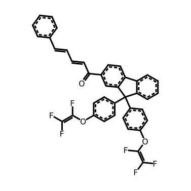 O=C(C=CC=Cc1ccccc1)c1ccc2c(c1)C(c1ccc(OC(F)=C(F)F)cc1)(c1ccc(OC(F)=C(F)F)cc1)c1ccccc1-2